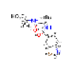 C[C@H](NC(=O)[C@@H](NC(=O)c1ccc2ncsc2c1)C(C)(C)C)C(=O)O